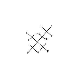 FC(F)(F)C(S)(S)C(C(F)(F)F)(C(F)(F)F)C(F)(F)F